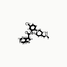 CNCC1CCN(c2ccc(Cl)cc2NC(=O)c2csc3cncnc23)CC1